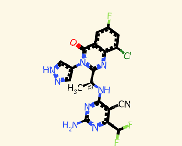 C[C@H](Nc1nc(N)nc(C(F)F)c1C#N)c1nc2c(Cl)cc(F)cc2c(=O)n1-c1cn[nH]c1